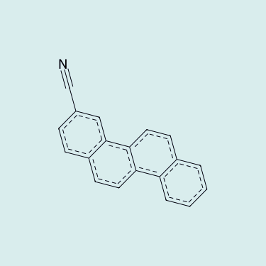 N#Cc1ccc2ccc3c4ccccc4ccc3c2c1